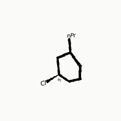 [CH2]CCC1CCC[C@@H](Cl)C1